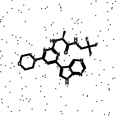 C[C@H](Nc1nc(-c2c[nH]c3ncncc23)cc(N2CCOCC2)n1)C(=O)NCC(F)(F)F